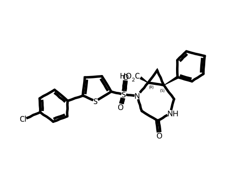 O=C1CN(S(=O)(=O)c2ccc(-c3ccc(Cl)cc3)s2)[C@]2(C(=O)O)C[C@]2(c2ccccc2)CN1